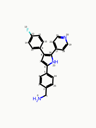 NCc1ccc(-c2cc(-c3ccc(F)cc3)c(-c3ccncc3)[nH]2)cc1